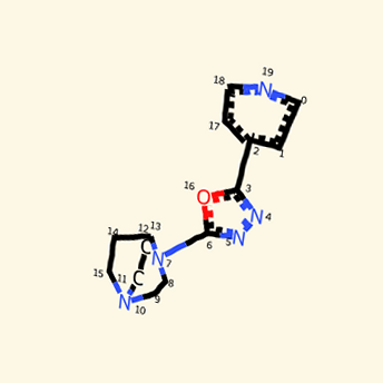 c1cc(-c2nnc(N3CCN4CCC3CC4)o2)ccn1